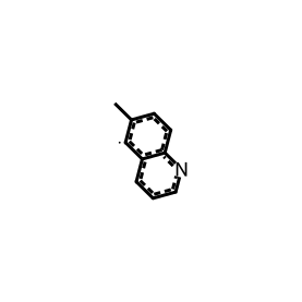 Cc1[c]c2cccnc2cc1